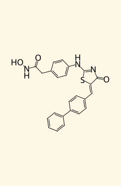 O=C(Cc1ccc(NC2=NC(=O)C(=Cc3ccc(-c4ccccc4)cc3)S2)cc1)NO